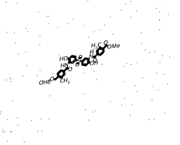 COC(=O)c1ccc(C(=O)Nc2cc(S(=O)(=O)c3ccc(O)c(NC(=O)c4ccc(COC=O)c(C)c4)c3)ccc2O)cc1C